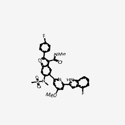 CNC(=O)c1c(-c2ccc(F)cc2)oc2cc(N(C)S(C)(=O)=O)c(-c3cc(OC)cc(-c4cc5c(F)cccc5[nH]4)n3)cc12